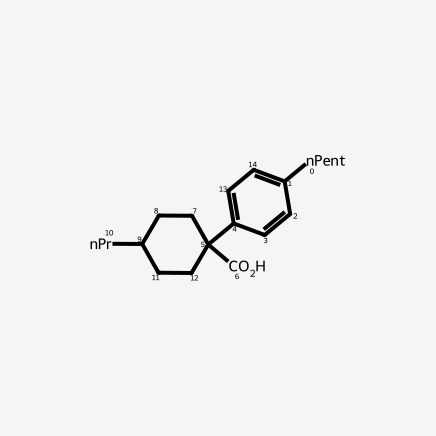 CCCCCc1ccc(C2(C(=O)O)CCC(CCC)CC2)cc1